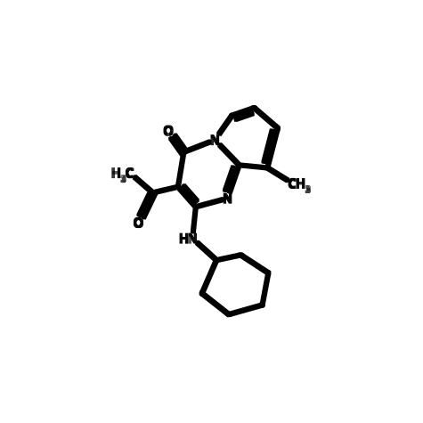 CC(=O)c1c(NC2CCCCC2)nc2c(C)cccn2c1=O